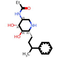 CCC(=O)N[C@H]1CN[C@H](CCC(C)c2ccccc2)[C@@H](O)[C@@H]1O